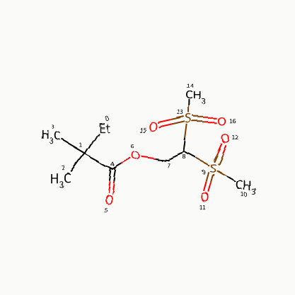 CCC(C)(C)C(=O)OCC(S(C)(=O)=O)S(C)(=O)=O